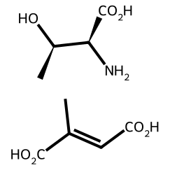 C/C(=C\C(=O)O)C(=O)O.C[C@@H](O)[C@H](N)C(=O)O